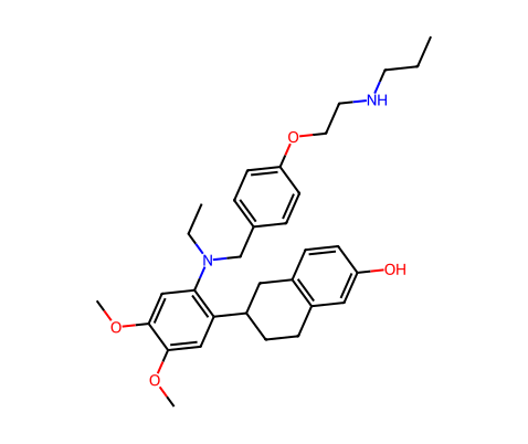 CCCNCCOc1ccc(CN(CC)c2cc(OC)c(OC)cc2C2CCc3cc(O)ccc3C2)cc1